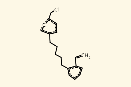 C=Cc1ccccc1CCCCCc1ccc(CCl)cc1